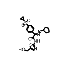 O=C(Nc1ncc(CO)s1)/C(=N/OC1CCCC1)c1ccc(S(=O)(=O)C2CC2)cc1